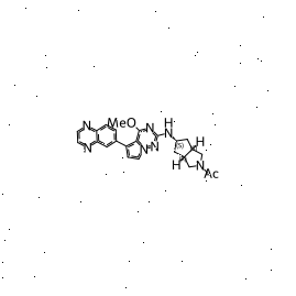 COc1nc(N[C@H]2C[C@@H]3CN(C(C)=O)C[C@@H]3C2)nn2ccc(-c3ccc4nccnc4c3)c12